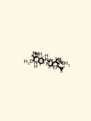 CC(N[C@H]1CC[C@H](Nc2ncc(Cl)c(-c3cnn(C)c3CC3CC3)n2)CC1)c1cn[nH]c1